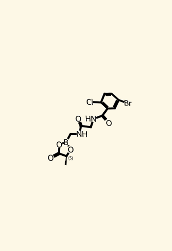 C[C@@H]1OB(CNC(=O)CNC(=O)c2cc(Br)ccc2Cl)OC1=O